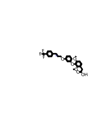 COc1ccc(CC(=O)O)c(OC)c1Oc1cccc(OC/C=C/c2ccc(C(F)(F)F)cc2)c1